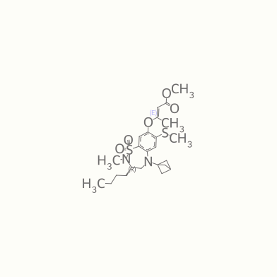 CCCC[C@@H]1CN(C23CC(C2)C3)c2cc(SC)c(O/C(C)=C/C(=O)OC)cc2S(=O)(=O)N1C